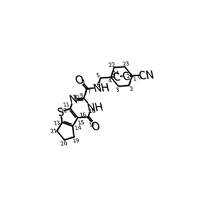 N#CC12CCC(CNC(=O)c3nc4sc5c(c4c(=O)[nH]3)CCC5)(CC1)CC2